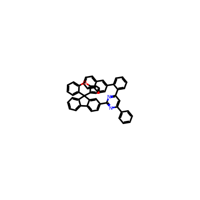 c1ccc(-c2cc(-c3ccccc3-c3ccc4ccccc4c3)nc(-c3ccc4c(c3)C3(c5ccccc5Oc5ccccc53)c3ccccc3-4)n2)cc1